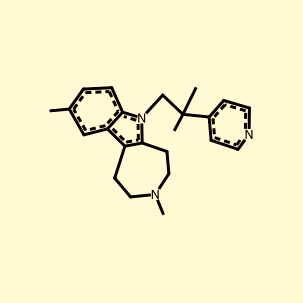 Cc1ccc2c(c1)c1c(n2CC(C)(C)c2ccncc2)CCN(C)CC1